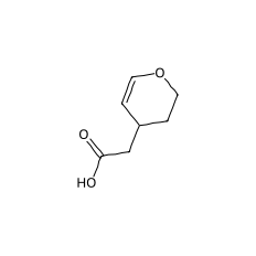 O=C(O)CC1C=COCC1